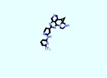 FC(F)(F)c1cccc(Nc2cc(-c3nc(N4CCNCC4)c4c(C5CC5)cncc4n3)ccn2)n1